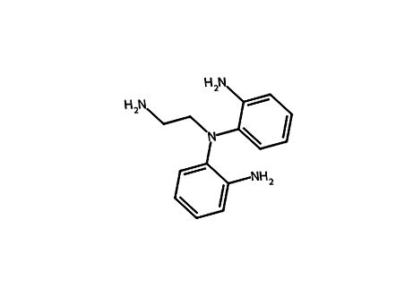 NCCN(c1ccccc1N)c1ccccc1N